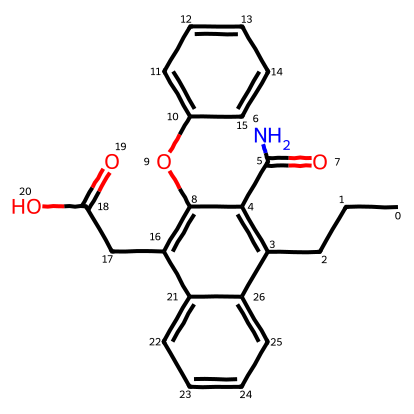 CCCc1c(C(N)=O)c(Oc2ccccc2)c(CC(=O)O)c2ccccc12